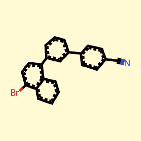 N#Cc1ccc(-c2cccc(-c3ccc(Br)c4ccccc34)c2)cc1